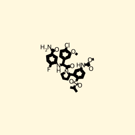 COC(=O)Nc1ccc(S(=O)(=O)C(C)C)c(C2CCCN2C(=O)C(Nc2cc(C(N)=O)ccc2F)c2ccc(Cl)c(OC)c2)c1